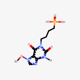 CCOn1cnc2c1c(=O)n(CCCCP(=O)(O)O)c(=O)n2CC